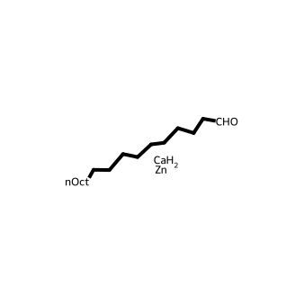 CCCCCCCCCCCCCCCCCC=O.[CaH2].[Zn]